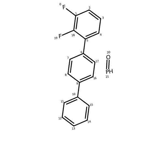 Fc1cccc(-c2ccc(-c3ccccc3)cc2)c1F.O=P